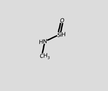 CN[SiH]=O